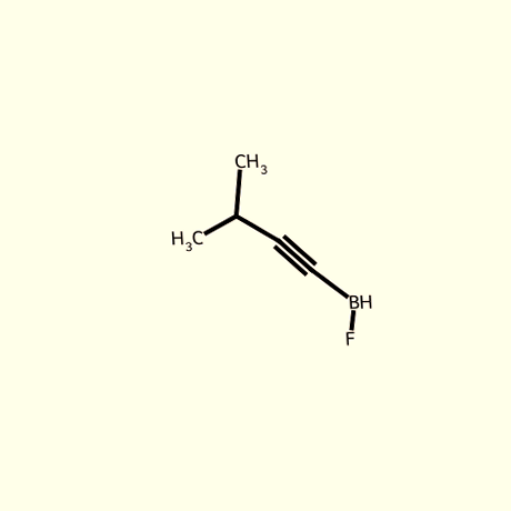 CC(C)C#CBF